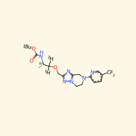 [2H]C([2H])(OCc1nc2n(n1)CCN(c1ccc(C(F)(F)F)cn1)C2)[C@H](C)NC(=O)OC(C)(C)C